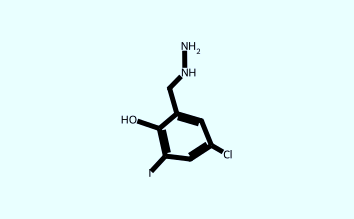 NNCc1cc(Cl)cc(I)c1O